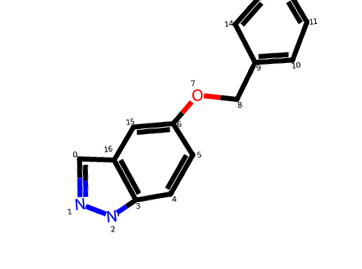 C1=N[N]c2ccc(OCc3ccccc3)cc21